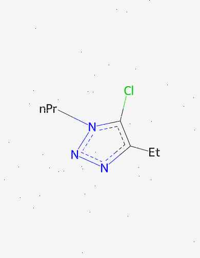 CCCn1nnc(CC)c1Cl